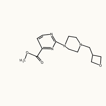 COC(=O)c1ccnc(N2CCN(CC3COC3)CC2)n1